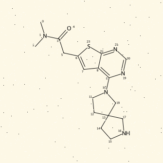 CN(C)C(=O)Cc1cc2c(N3CCC4(CCNC4)C3)ncnc2s1